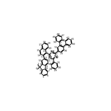 CC1(C)c2ccccc2-c2ccc(-c3ccc4ccccc4c3-c3nc(-c4ccccc4)nc(-c4ccc(-c5ccccc5)c(-c5ccccc5)c4)n3)cc21